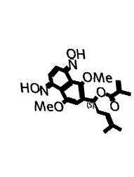 C=C(C)C(=O)O[C@@H](CC=C(C)C)c1cc(OC)c2c(c1OC)C(=NO)C=CC2=NO